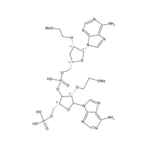 COCCO[C@H]1C(OP(=O)(O)OC[C@@H]2C[C@H](OCCOC)[C@H](n3cnc4c(N)ncnc43)O2)[C@@H](COP(=O)(O)O)OC1n1cnc2c(N)ncnc21